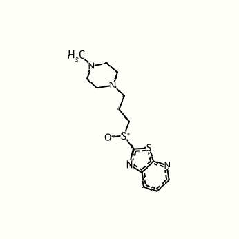 CN1CCN(CCC[S+]([O-])c2nc3cccnc3s2)CC1